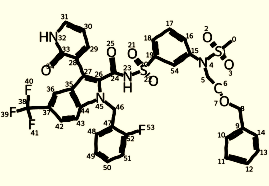 CS(=O)(=O)N(CCOCc1ccccc1)c1cccc(S(=O)(=O)NC(=O)c2c(-c3ccc[nH]c3=O)c3cc(C(F)(F)F)ccc3n2Cc2ccccc2F)c1